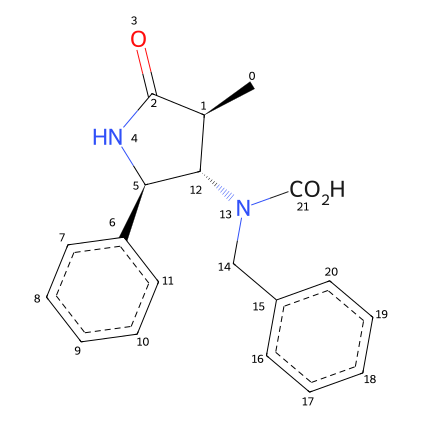 C[C@@H]1C(=O)N[C@H](c2ccccc2)[C@H]1N(Cc1ccccc1)C(=O)O